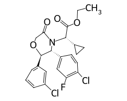 CCOC(=O)[C@H](C1CC1)N1C(=O)CO[C@H](c2cccc(Cl)c2)[C@H]1c1ccc(Cl)c(F)c1